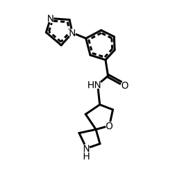 O=C(NC1COC2(CNC2)C1)c1cccc(-n2ccnc2)c1